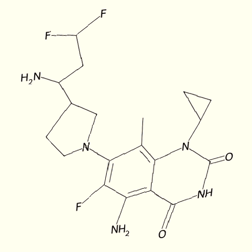 Cc1c(N2CCC(C(N)CC(F)F)C2)c(F)c(N)c2c(=O)[nH]c(=O)n(C3CC3)c12